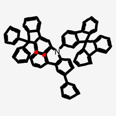 c1ccc(-c2ccc(N(c3ccc4c(c3)-c3ccccc3C4(c3ccccc3)c3ccccc3)c3ccc4c(c3)C3(c5ccccc5-c5ccccc53)c3ccccc3-4)c(-c3ccccc3)c2)cc1